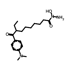 CCC(CCCCCCC(=O)N(N)O)C(=O)c1ccc(N(C)C)cc1